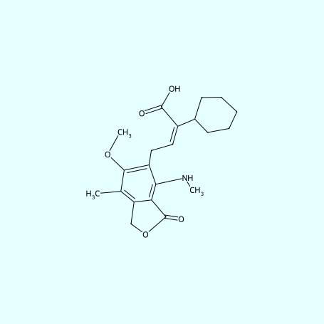 CNc1c(CC=C(C(=O)O)C2CCCCC2)c(OC)c(C)c2c1C(=O)OC2